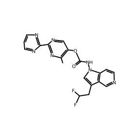 Cc1nc(-c2ncccn2)ncc1OC(=O)Nn1cc(CC(F)F)c2cnccc21